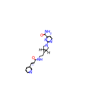 NC(=O)c1ccnc(N2C[C@@H]3C(CCNC(=O)/C=C/c4cccnc4)[C@@H]3C2)n1